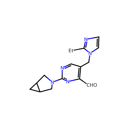 CCc1nccn1Cc1cnc(N2CC3CC3C2)nc1C=O